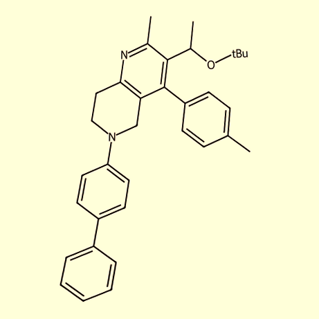 Cc1ccc(-c2c3c(nc(C)c2C(C)OC(C)(C)C)CCN(c2ccc(-c4ccccc4)cc2)C3)cc1